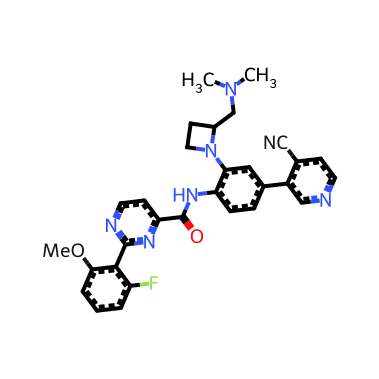 COc1cccc(F)c1-c1nccc(C(=O)Nc2ccc(-c3cnccc3C#N)cc2N2CCC2CN(C)C)n1